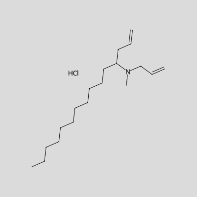 C=CCC(CCCCCCCCCCC)N(C)CC=C.Cl